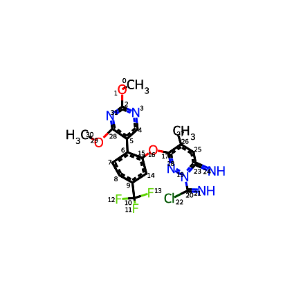 COc1ncc(-c2ccc(C(F)(F)F)cc2Oc2nn(C(=N)Cl)c(=N)cc2C)c(OC)n1